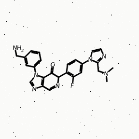 CN(C)Cc1nccn1-c1ccc(C2N=Cc3ncn(-c4cccc(CN)c4)c3C2=O)c(F)c1